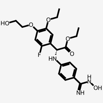 CCOC(=O)[C@H](Nc1ccc(C(=N)NO)cc1)c1cc(OCC)c(OCCO)cc1F